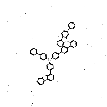 c1ccc(-c2ccc(N(c3ccc(-c4ccc(-c5ccccc5-n5c6ccccc6c6ccc(-c7ccccc7)cc65)cc4)cc3)c3ccc(-c4cccc5c4sc4ccccc45)cc3)cc2)cc1